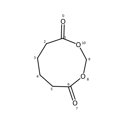 O=C1CCCCC(=O)OCO1